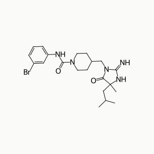 CC(C)CC1(C)NC(=N)N(CC2CCN(C(=O)Nc3cccc(Br)c3)CC2)C1=O